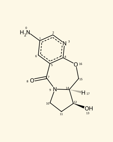 Nc1cnc2c(c1)C(=O)N1CC[C@H](O)[C@@H]1CO2